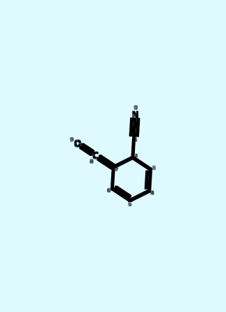 N#CC1C=CC=CC1=C=O